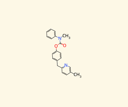 Cc1ccc(Cc2ccc(OC(=O)N(C)c3ccccc3)cc2)nc1